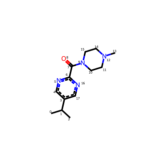 CC(C)c1cnc(C(=O)N2CCN(C)CC2)nc1